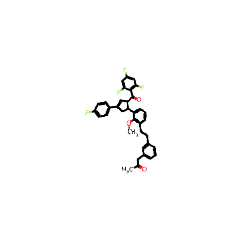 COc1c(CCc2cccc(CC(C)=O)c2)cccc1C1CC(c2ccc(F)cc2)=CC1C(=O)c1c(F)cc(F)cc1F